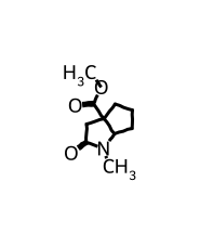 COC(=O)C12CCCC1N(C)C(=O)C2